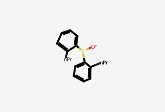 CCCc1ccccc1[S+]([O-])c1ccccc1CCC